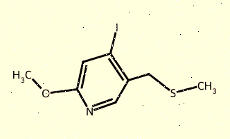 COc1cc(I)c(CSC)cn1